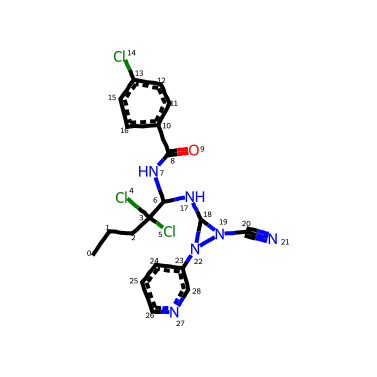 CCCC(Cl)(Cl)C(NC(=O)c1ccc(Cl)cc1)NC1N(C#N)N1c1cccnc1